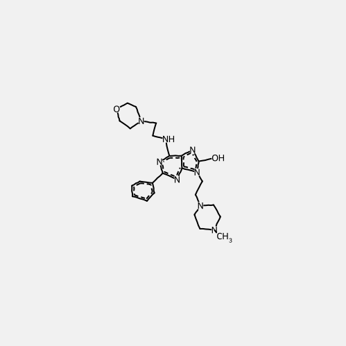 CN1CCN(CCn2c(O)nc3c(NCCN4CCOCC4)nc(-c4ccccc4)nc32)CC1